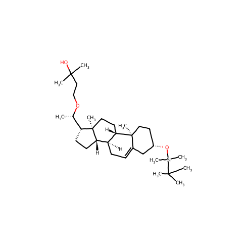 C[C@H](OCCC(C)(C)O)[C@H]1CC[C@H]2[C@@H]3CC=C4C[C@@H](O[Si](C)(C)C(C)(C)C)CC[C@]4(C)[C@H]3CC[C@]12C